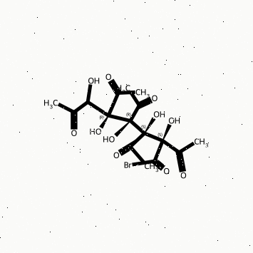 CC(=O)C(O)[C@](O)(C(C)=O)[C@](O)(C(C)=O)[C@@](O)(C(C)=O)[C@](O)(C(C)=O)C(=O)Br